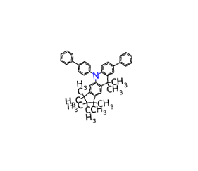 CC1(C)c2cc(-c3ccccc3)ccc2N(c2ccc(-c3ccccc3)cc2)c2cc3c(cc21)C(C)(C)C(C)(C)C3(C)C